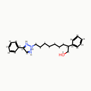 OCC(CCCCCCCn1ncc(-c2ccccc2)n1)c1ccccc1